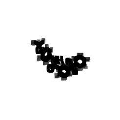 CC(C)Oc1ccc(NC(=O)c2cccc(S(=O)(=O)C3CCCCC3)c2)cc1